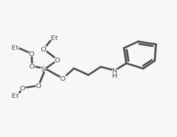 CCOO[Si](OCCCNc1ccccc1)(OOCC)OOCC